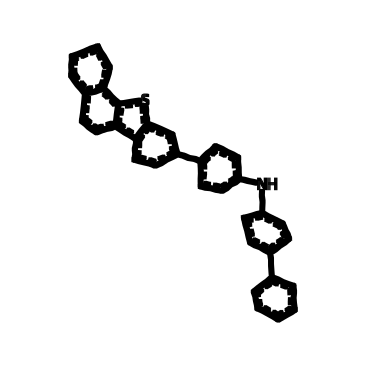 c1ccc(-c2ccc(Nc3ccc(-c4ccc5c(c4)sc4c6ccccc6ccc54)cc3)cc2)cc1